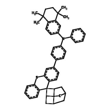 CC1(C)CCC(C)(C)c2cc(N(c3ccccc3)c3ccc(-c4ccc5c(c4)Sc4ccccc4C54C5CC6CC7CC4C75C6)cc3)ccc21